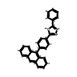 c1ccc(-c2nnc(-c3ccc(-c4c5ccccc5cc5ccccc45)cc3)o2)cc1